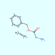 C=C.NCC(=O)OCc1ccccc1